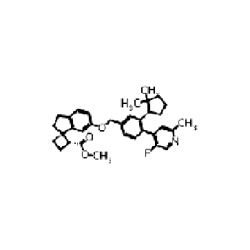 COC(=O)[C@@H]1CC[C@]12CCc1ccc(OCc3ccc(-c4cc(C)ncc4F)c([C@@H]4CCCC4(C)C)c3)cc12